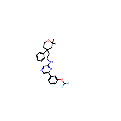 CC1(C)CC(CCNc2cncc(-c3cccc(OC(F)F)c3)n2)(c2ccccc2)CCO1